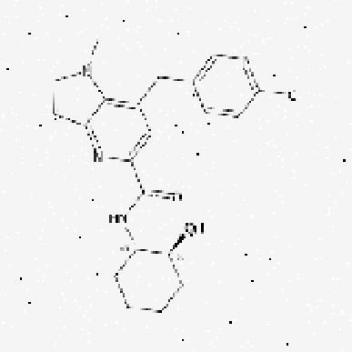 Cn1ccc2nc(C(=O)N[C@H]3CCCC[C@@H]3O)cc(Cc3ccc(Cl)nc3)c21